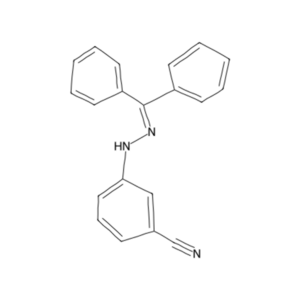 N#Cc1cccc(NN=C(c2ccccc2)c2ccccc2)c1